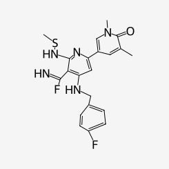 CSNc1nc(-c2cc(C)c(=O)n(C)c2)cc(NCc2ccc(F)cc2)c1C(=N)F